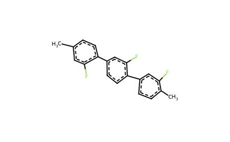 Cc1ccc(-c2ccc(-c3ccc(C)c(F)c3)c(F)c2)c(F)c1